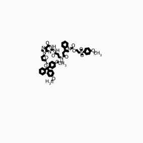 COc1ccc(C(OC[C@@H]2CC[C@H](n3cnc4c(=O)[nH]c(NC(=O)CCNC(=O)Cc5cn(C(=O)OCCS(=O)(=O)c6ccc(OC)cc6)c6ccccc56)nc43)O2)(c2ccccc2)c2ccc(OC)cc2)cc1